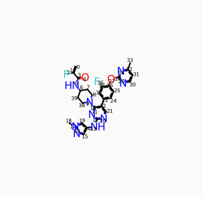 C=C(F)C(=O)NC1CCN(c2nc(Nc3cnn(C)c3)ncc2-c2ccc(Oc3nccc(C)n3)c(F)c2)CC1